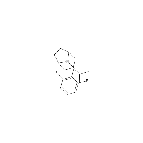 CC(C)C1CC2CCC(C1)N2Cc1c(F)cccc1F